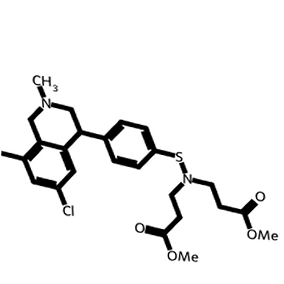 COC(=O)CCN(CCC(=O)OC)Sc1ccc(C2CN(C)Cc3c(Cl)cc(Cl)cc32)cc1